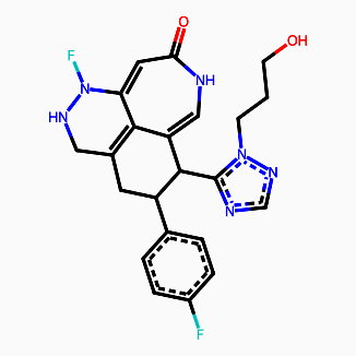 O=C1C=C2C3=C(CNN2F)CC(c2ccc(F)cc2)C(c2ncnn2CCCO)C3=CN1